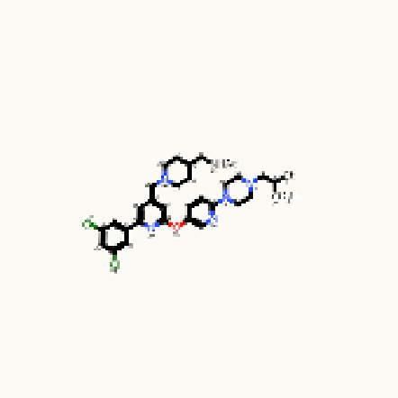 CCC(CN1CCN(c2ccc(Oc3cc(CN4CCC(CNC(C)=O)CC4)cc(-c4cc(Cl)cc(Cl)c4)n3)cn2)CC1)C(=O)O